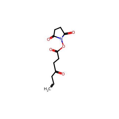 C=CCC(=O)CCC(=O)ON1C(=O)CCC1=O